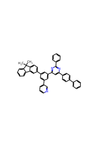 CC1(C)c2ccccc2-c2cc(-c3cc(-c4cccnc4)cc(-c4cc(-c5ccc(-c6ccccc6)cc5)nc(-c5ccccc5)n4)c3)ccc21